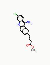 COC(=O)CCCC1=CC2Cc3nc4cc(Cl)ccc4c(N)c3C(C1)C2